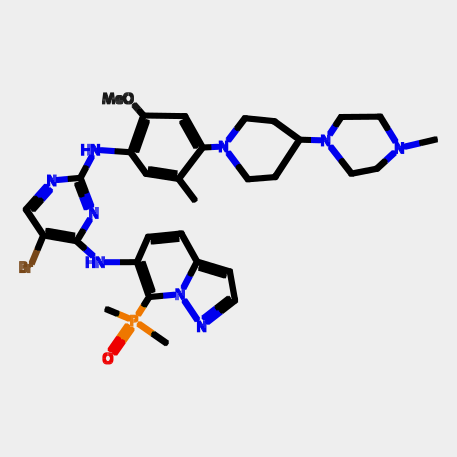 COc1cc(N2CCC(N3CCN(C)CC3)CC2)c(C)cc1Nc1ncc(Br)c(Nc2ccc3ccnn3c2P(C)(C)=O)n1